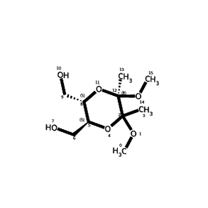 COC1(C)O[C@@H](CO)[C@H](CO)O[C@@]1(C)OC